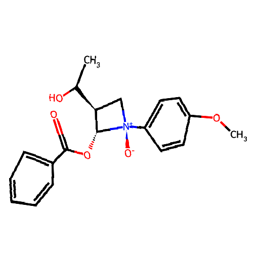 COc1ccc([N@@+]2([O-])C[C@H](C(C)O)[C@H]2OC(=O)c2ccccc2)cc1